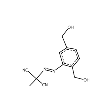 CC(C#N)(C#N)N=Nc1cc(CO)ccc1CO